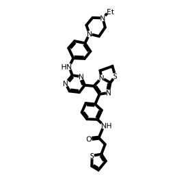 CCN1CCN(c2ccc(Nc3nccc(-c4c(-c5cccc(NC(=O)Cc6cccs6)c5)nc5n4CCS5)n3)cc2)CC1